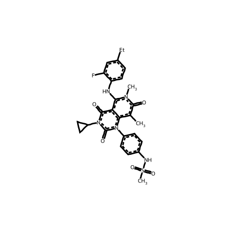 CCc1ccc(Nc2c3c(=O)n(C4CC4)c(=O)n(-c4ccc(NS(C)(=O)=O)cc4)c3c(C)c(=O)n2C)c(F)c1